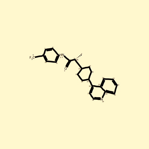 C[C@@H](C(=O)Nc1ccc(C(F)(F)F)cc1)C1CCC(c2ccnc3ccccc23)CC1